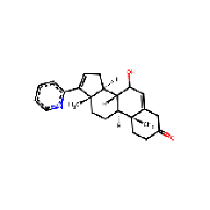 C[C@]12CCC(=O)CC1=CC(O)[C@@H]1[C@@H]2CC[C@]2(C)C(c3ccccn3)=CC[C@@H]12